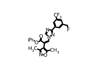 Cc1noc(C)c1/C(=C/n1cnc(-c2cc(CF)cc(C(F)(F)F)c2)n1)C(=O)OC(C)C